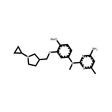 COc1ccc(N(C)c2nc(C)cc(N)n2)cc1OCC1CCN(C2CC2)C1